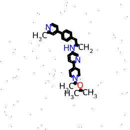 C=C(Cc1ccc(-c2ccnc(C)c2)cc1)Nc1ccc(C2=CCN(C(=C)OC(C)C)CC2)nc1